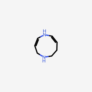 C1=C\N/C=C\CNCC/1